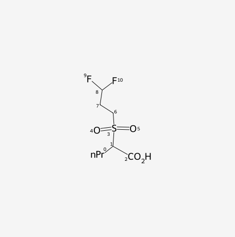 CCCC(C(=O)O)S(=O)(=O)CCC(F)F